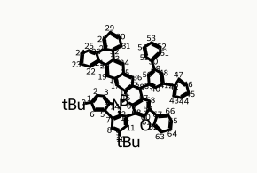 CC(C)(C)c1ccc2c(c1)c1cc(C(C)(C)C)cc3c1n2B1c2cc4cc5c6ccccc6c6ccccc6c5cc4cc2C(c2cc(-c4ccccc4)cc(-c4ccccc4)c2)c2cc4c(oc5ccccc54)c-3c21